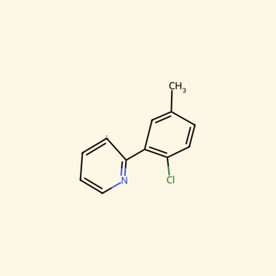 Cc1ccc(Cl)c(-c2[c]cccn2)c1